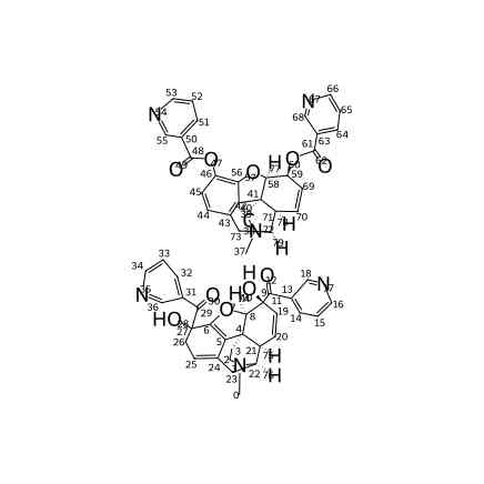 CN1CC[C@]23C4=C5O[C@H]2[C@](O)(C(=O)c2cccnc2)C=C[C@H]3[C@H]1CC4=CCC5(O)C(=O)c1cccnc1.CN1CC[C@]23c4c5ccc(OC(=O)c6cccnc6)c4O[C@H]2[C@@H](OC(=O)c2cccnc2)C=C[C@H]3[C@H]1C5